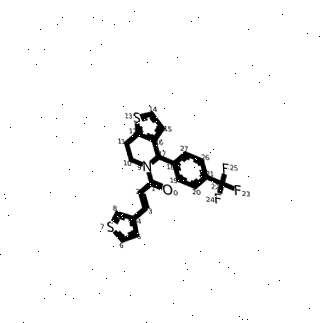 O=C(C=Cc1ccsc1)N1CCc2sccc2C1c1ccc(C(F)(F)F)cc1